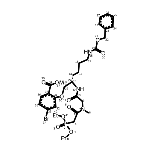 CCOP(=O)(CC(=O)N(C)CC(=O)N[C@@H](CCCCNC(=O)OCc1ccccc1)COc1cc(Br)ccc1C(=O)OC)OCC